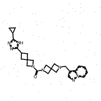 O=C(N1CC2(CC(c3nnc(C4CC4)[nH]3)C2)C1)N1CC2(CN(Cc3cnn4ccccc34)C2)C1